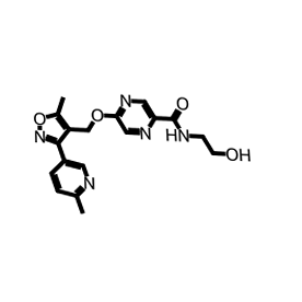 Cc1ccc(-c2noc(C)c2COc2cnc(C(=O)NCCO)cn2)cn1